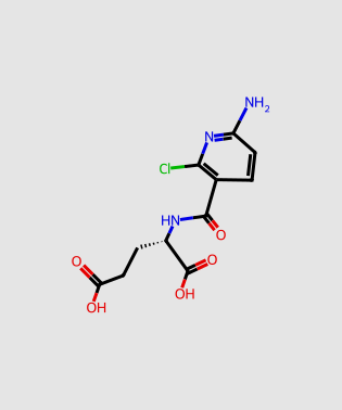 Nc1ccc(C(=O)N[C@@H](CCC(=O)O)C(=O)O)c(Cl)n1